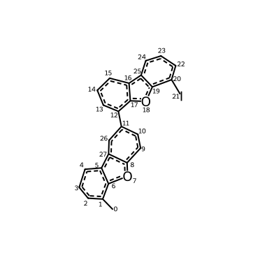 Cc1cccc2c1oc1ccc(-c3cccc4c3oc3c(I)cccc34)cc12